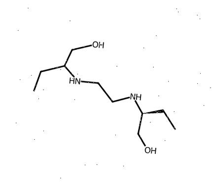 CCC(CO)NCCN[C@@H](CC)CO